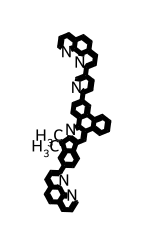 CC1(C)c2cc(-c3ccc4ccc5cccnc5c4n3)ccc2-c2cc3c4ccccc4c4cc(-c5ccc(-c6ccc7ccc8cccnc8c7n6)cn5)ccc4c3nc21